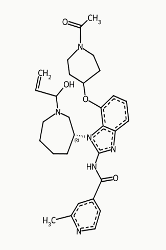 C=CC(O)N1CCCC[C@@H](n2c(NC(=O)c3ccnc(C)c3)nc3cccc(OC4CCN(C(C)=O)CC4)c32)C1